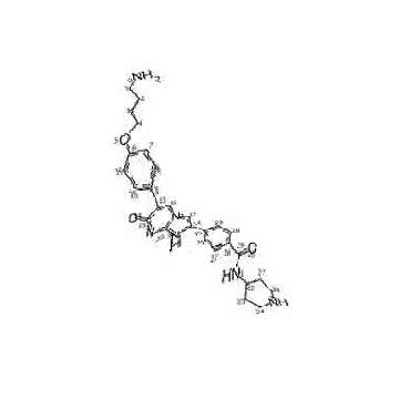 NCCCCOc1ccc(-c2cn3cc(-c4ccc(C(=O)NC5CCNCC5)cc4)[nH]c3nc2=O)cc1